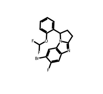 Fc1cc2nc3n(c2cc1Br)C(c1ccccc1OC(F)F)CC3